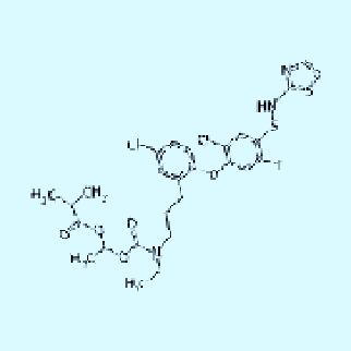 CCN(CCCc1cc(Cl)ccc1Oc1cc(F)c(SNc2nccs2)cc1Cl)C(=O)OC(C)OC(=O)C(C)C